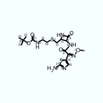 CO/N=C(\C(=O)NC1C(=O)NC1CSCCNC(=O)OC(C)(C)C)c1cnc(N)s1